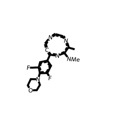 CNc1nc(-c2cc(F)c(N3CCOCC3)c(F)c2)ccnccnc1C